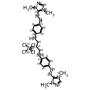 Cn1nc[n+](C)c1/N=N/c1ccc(NCCCNc2ccc(/N=N/c3n(C)nc[n+]3C)cc2)cc1.[Cl][Zn-2]([Cl])([Cl])[Cl]